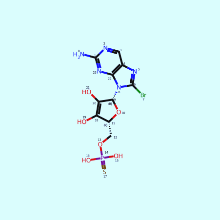 Nc1ncc2nc(Br)n([C@@H]3O[C@H](COP(O)(O)=S)C(O)=C3O)c2n1